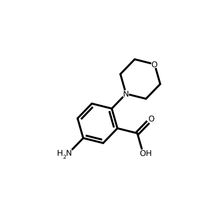 Nc1ccc(N2CCOCC2)c(C(=O)O)c1